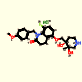 COc1ccc(CN2C(=O)CCc3c(OC[C@@]4(O)CCNC[C@]4(C)O)ccc(F)c32)cc1.Cl